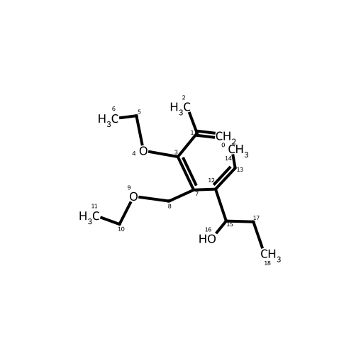 C=C(C)/C(OCC)=C(COCC)\C(=C/C)C(O)CC